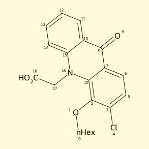 CCCCCCOc1c(Cl)ccc2c(=O)c3ccccc3n(CC(=O)O)c12